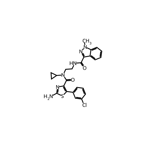 Cn1nc(C(=O)NCCN(C(=O)c2nc(N)sc2-c2cccc(Cl)c2)C2CC2)c2ccccc21